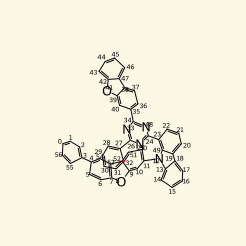 c1ccc(-c2ccc3oc4cc(-n5c6ccccc6c6cccc(-c7nc(-c8ccccc8)nc(-c8ccc9c(c8)oc8ccccc89)n7)c65)ccc4c3c2)cc1